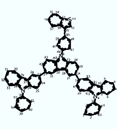 c1ccc(-n2c3ccccc3c3cc(-c4ccc5c(c4)c4cc(-c6ccc7c(c6)c6ccccc6n7-c6ccccc6)ccc4n5-c4ccc(-c5csc6ccccc56)cc4)ccc32)cc1